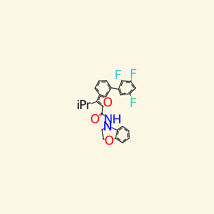 CC(C)c1c(C(=O)NN2CCOc3ccccc32)oc2c(-c3cc(F)cc(F)c3F)cccc12